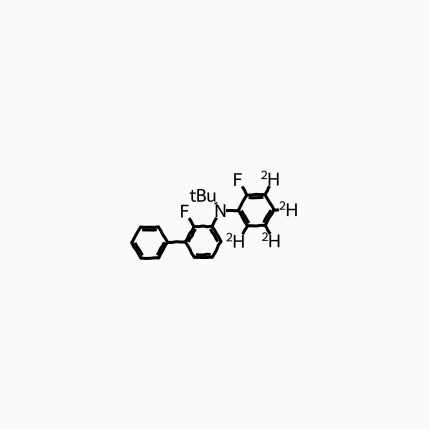 [2H]c1c([2H])c([2H])c(N(c2cccc(-c3ccccc3)c2F)C(C)(C)C)c(F)c1[2H]